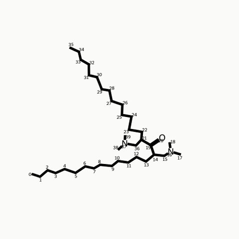 CCCCCCCCCCCCCCC(CN(C)C)C(=O)C(CCCCCCCCCCCCCC)CN(C)C